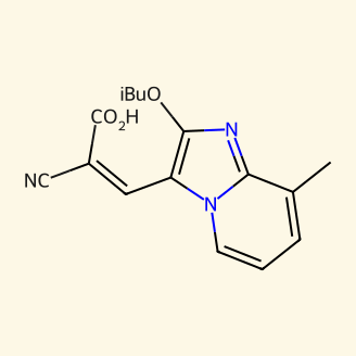 Cc1cccn2c(C=C(C#N)C(=O)O)c(OCC(C)C)nc12